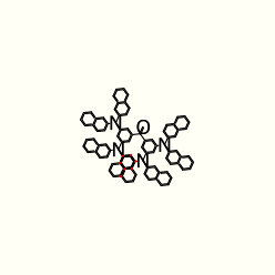 O=C(c1cc(N(c2ccc3ccccc3c2)c2ccc3ccccc3c2)cc(N(c2ccc3ccccc3c2)c2ccc3ccccc3c2)c1)c1cc(N(c2ccc3ccccc3c2)c2ccc3ccccc3c2)cc(N(c2ccc3ccccc3c2)c2ccc3ccccc3c2)c1